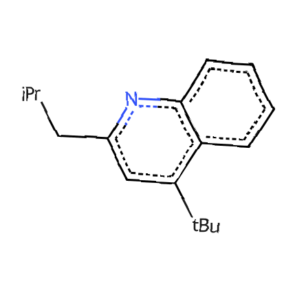 CC(C)Cc1cc(C(C)(C)C)c2ccccc2n1